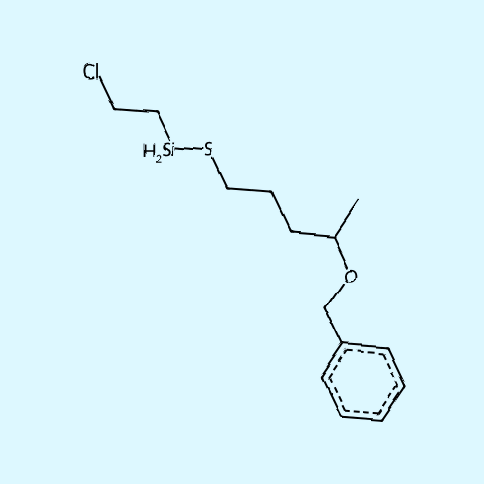 CC(CCCS[SiH2]CCCl)OCc1ccccc1